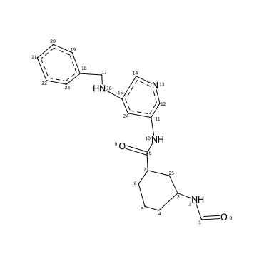 O=CNC1CCCC(C(=O)Nc2cncc(NCc3ccccc3)c2)C1